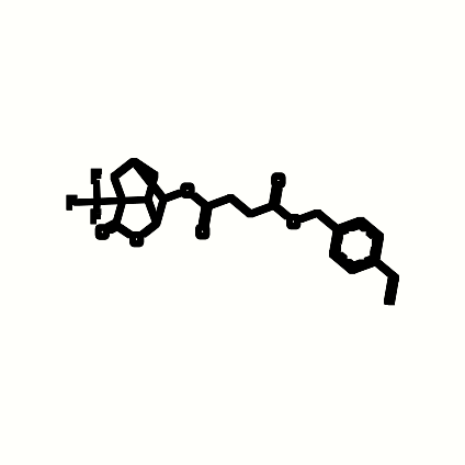 C=Cc1ccc(COC(=O)CCC(=O)OC2C3CC4C2OC(=O)C4(C(F)(F)F)C3)cc1